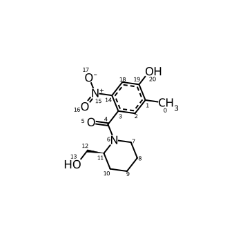 Cc1cc(C(=O)N2CCCC[C@H]2CO)c([N+](=O)[O-])cc1O